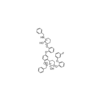 O[C@@H]1[C@H](NCc2ccccc2)C(c2cc(Oc3ccccc3O[C@@H]3CCC[C@@H](NCc4ccccc4)[C@H]3O)ccc2Cl)CC[C@H]1Oc1ccccc1Oc1cccc(F)c1